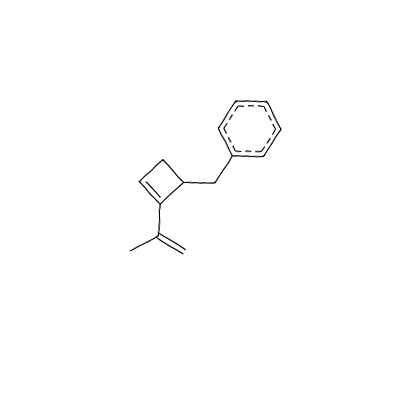 C=C(C)C1=CCC1Cc1ccccc1